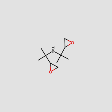 CC(C)(BC(C)(C)C1CO1)C1CO1